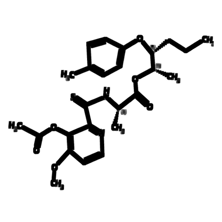 CCC[C@@H](Oc1ccc(C)cc1)[C@H](C)OC(=O)[C@H](C)NC(=S)c1nccc(OC)c1OC(C)=O